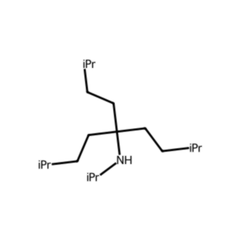 CC(C)CCC(CCC(C)C)(CCC(C)C)NC(C)C